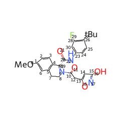 COc1ccc2c(c1)CCN(C(=O)Cc1cc(O)no1)[C@H]2C(=O)Nc1ccc(C(C)(C)C)c(F)c1